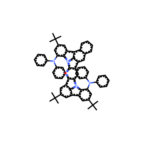 CC(C)(C)c1cc(N(c2ccccc2)c2ccccc2)c2c(c1)c1cc(C(C)(C)C)cc3c4nc5c(cc4n2c13)c1cc2ccccc2c2c3cc(C(C)(C)C)cc(N(c4ccccc4)c4ccccc4)c3n5c12